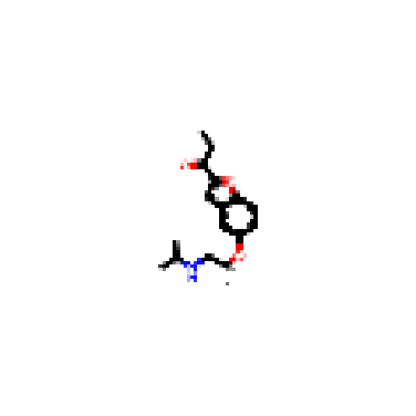 CCC(=O)c1cc2cc(O[C@H](C)CNC(C)C)ccc2o1